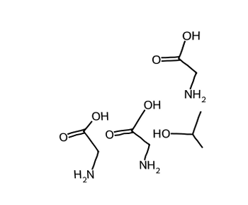 CC(C)O.NCC(=O)O.NCC(=O)O.NCC(=O)O